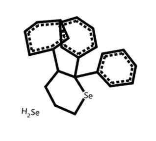 [SeH2].c1ccc(C2CCC[Se]C2(c2ccccc2)c2ccccc2)cc1